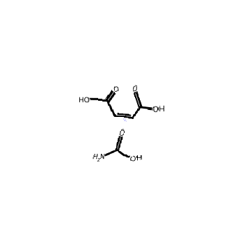 NC(=O)O.O=C(O)/C=C\C(=O)O